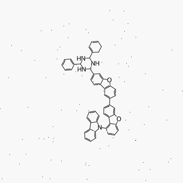 C1=CCCC(C2NC(c3ccccc3)NC(c3ccc4c(c3)oc3ccc(-c5ccc6c(c5)oc5cccc(-n7c8ccccc8c8ccccc87)c56)cc34)N2)=C1